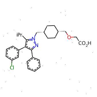 CC(C)c1c(-c2cccc(Cl)c2)c(-c2ccccc2)nn1C[C@H]1CC[C@@H](COCC(=O)O)CC1